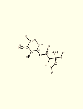 CCOC(O)(CC)C(F)C(=O)OC(OC)C(F)C(O)OC